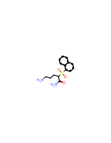 NCCCC(C(N)=O)S(=O)(=O)c1cccc2ccccc12